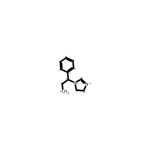 CCC(c1ccccc1)N1C=NCC1